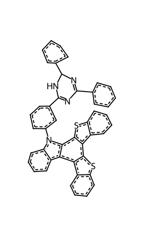 c1ccc(C2=NC(c3ccccc3)NC(c3cccc(-n4c5ccccc5c5c6c7ccccc7sc6c6c7ccccc7sc6c54)c3)=N2)cc1